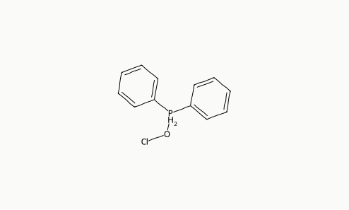 ClO[PH2](c1ccccc1)c1ccccc1